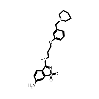 Nc1ccc2c(c1)S(=O)(=O)N=C2NCCCOc1cccc(CN2CCCCC2)c1